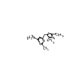 Cc1nc(N)cc(Cc2sc(C)nc2C)n1